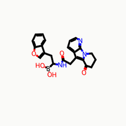 O=C(Cc1c2n(c3ncccc13)CCCC2=O)NC(Cc1coc2ccccc12)B(O)O